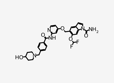 NC(=O)n1ccc2cc(COc3ccnc(NC(=O)c4ccc(CN5CCC(O)CC5)cc4)c3)c(OC(F)F)cc21